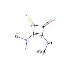 CCCCCNc1c(N(C)CC)c(=S)c1=O